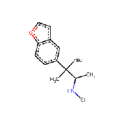 CCCCC(C)(c1ccc2occc2c1)C(C)NCC